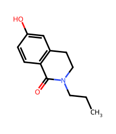 CCCN1CCc2cc(O)ccc2C1=O